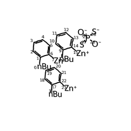 CCCCc1cccc[c]1[Zn+].CCCCc1cccc[c]1[Zn+].CCCCc1cccc[c]1[Zn+].[O-]P([O-])(=S)[S-]